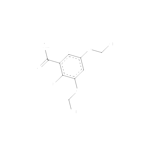 CCOc1cc(OCC)c(F)c(C(=O)O)c1